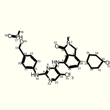 CN1Cc2c(c(Nc3nc(Nc4ccc(CO[PH](C)=O)cc4)ncc3C(F)(F)F)ccc2[C@H]2CC[C@H](O)CC2)C1=O